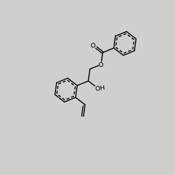 C=Cc1ccccc1C(O)COC(=O)c1ccccc1